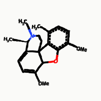 COC1=CC=C2[C@@H](C)N(C)CCC23c2c(C)ccc(OC)c2OC13